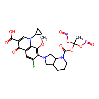 COc1c(N2CC3CCCN(C(=O)OC(C)(OP=O)OP=O)C3C2)c(F)cc2c(=O)c(C(=O)O)cn(C3CC3)c12